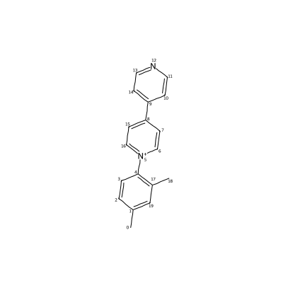 Cc1ccc(-[n+]2ccc(-c3ccncc3)cc2)c(C)c1